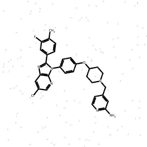 Cc1ccc(-c2nc3cc(Cl)cnc3n2-c2ccc(OC3CCN(Cc4ccnc(N)c4)CC3)cc2)cc1F